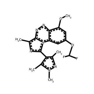 COc1cc(OC(F)F)cc2c1nnc1c(C)nc(-c3c(C)nn(C)c3C)n12